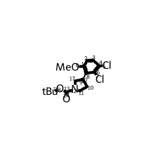 COc1ccc(Cl)c(Cl)c1[C@H]1CCN(C(=O)OC(C)(C)C)C1